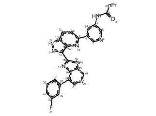 CCCC(=O)Nc1cncc(-c2ccc3[nH]nc(-c4nc5c(-c6cccc(F)c6)cncc5[nH]4)c3n2)c1